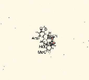 COc1c(C)cc2c(c1O)[C@@H]1C3[C@@H]4SCC(N)C(=O)OC[C@@H](c5c6c(c(C)c(OC(C)=O)c54)OCO6)N3[C@@H](C#N)C(C2)N1C